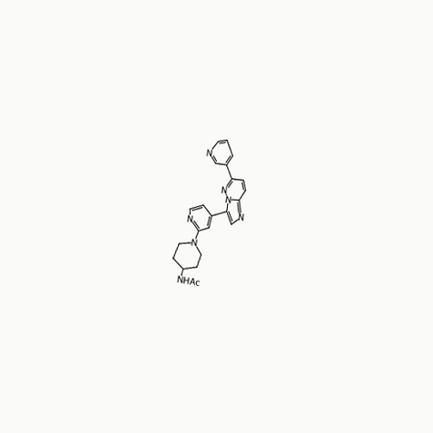 CC(=O)NC1CCN(c2cc(-c3cnc4ccc(-c5cccnc5)nn34)ccn2)CC1